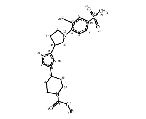 CC(C)OC(=O)N1CCC(c2csc(C3CCN(c4ccc(S(C)(=O)=O)cc4F)C3)n2)CC1